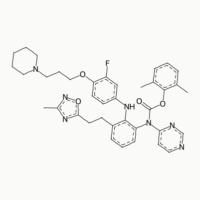 Cc1noc(CCc2cccc(N(C(=O)Oc3c(C)cccc3C)c3ccncn3)c2Nc2ccc(OCCCN3CCCCC3)c(F)c2)n1